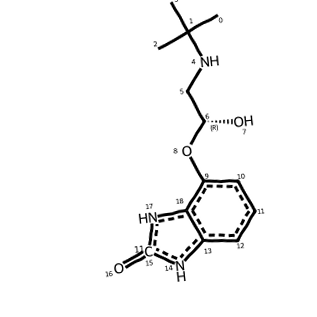 CC(C)(C)NC[C@H](O)Oc1cccc2[nH][11c](=O)[nH]c12